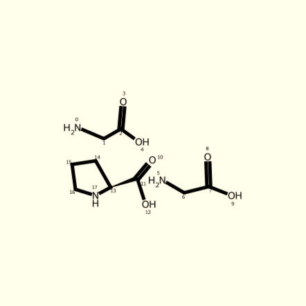 NCC(=O)O.NCC(=O)O.O=C(O)[C@@H]1CCCN1